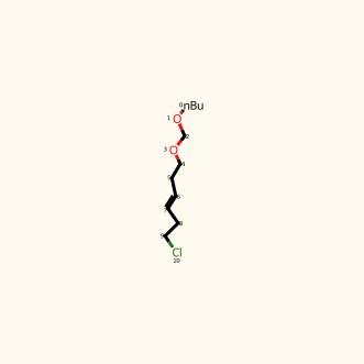 CCCCOCOCC/C=C/CCCl